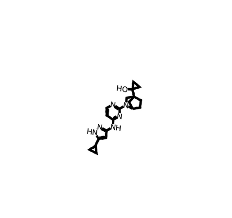 OC1(C23CCC(C2)N(c2nccc(Nc4cc(C5CC5)[nH]n4)n2)C3)CC1